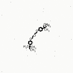 CCC(C)(C)c1ccc(OCCOCCOc2ccc(C(C)(CC)CC)cc2)cc1